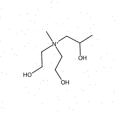 CC(O)C[N+](C)(CCO)CCO